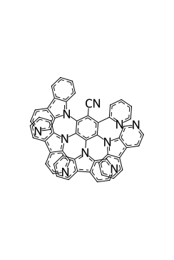 N#Cc1c(-c2ccccn2)c(-n2c3ccccc3c3ccncc32)c(-n2c3ccccc3c3ccncc32)c(-n2c3ccccc3c3ccncc32)c1-n1c2ccccc2c2ccncc21